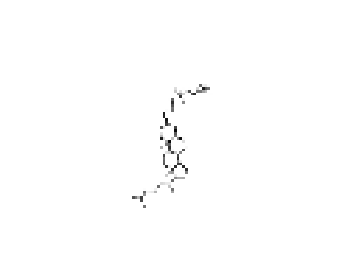 CC(C)CCCC(C)C1CCC2C3CC=C4CC(OCC[N+](C)(C)CCO)CCC4(C)C3CCC12C